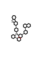 c1ccc(-c2ccccc2N(c2ccc(-c3ccc4c(c3)sc3ccccc34)cc2)c2cccc(-c3cccc(-c4cccc5ccccc45)c3)c2)cc1